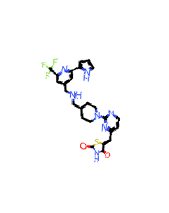 O=C1NC(=O)C(=Cc2ccnc(N3CCC(CNCc4cc(-c5ccc[nH]5)nc(C(F)(F)F)c4)CC3)n2)S1